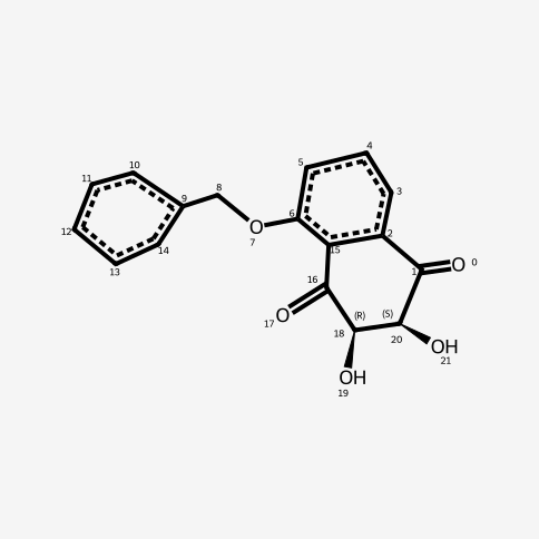 O=C1c2cccc(OCc3ccccc3)c2C(=O)[C@H](O)[C@@H]1O